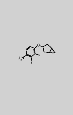 Nc1ccc(OC2CC3CC3C2)c(F)c1F